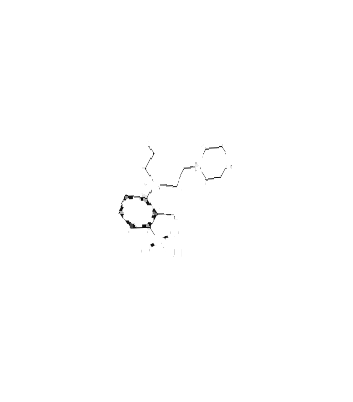 CS(=O)(=O)c1cccc(N(CCO)CCN2CCOCC2)c1Cl